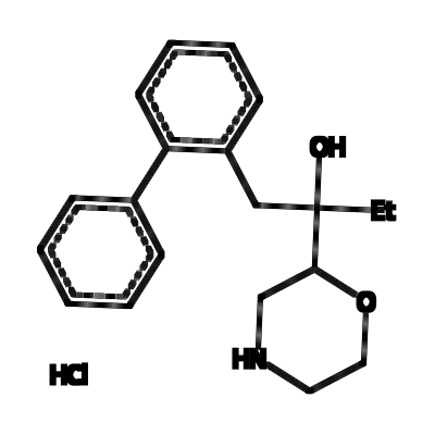 CCC(O)(Cc1ccccc1-c1ccccc1)C1CNCCO1.Cl